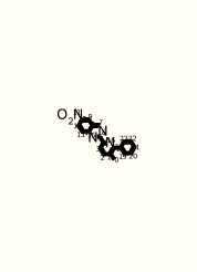 Cc1ccc(-c2ncc3cc([N+](=O)[O-])ccc3n2)nc1-c1ccccc1